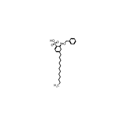 CCCCCCCCCCCCC1=CC=C(S(=O)(=O)O)C(=NOCc2ccccc2)C1